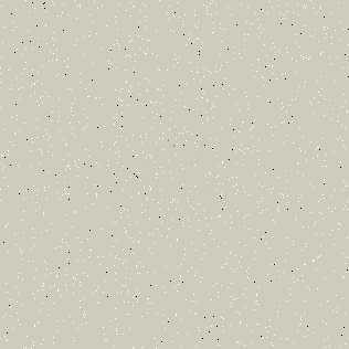 C=CC(=O)NC(C)(C)C[PH](=O)O